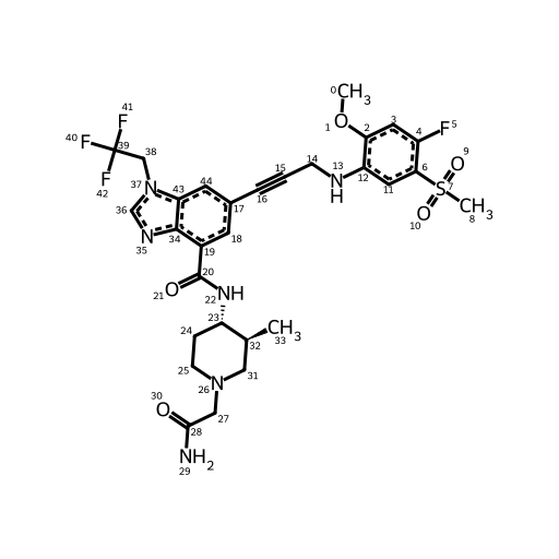 COc1cc(F)c(S(C)(=O)=O)cc1NCC#Cc1cc(C(=O)N[C@H]2CCN(CC(N)=O)C[C@@H]2C)c2ncn(CC(F)(F)F)c2c1